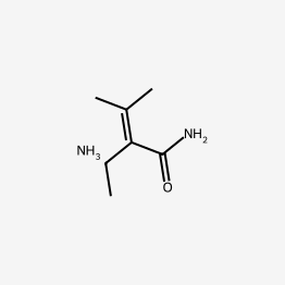 CCC(C(N)=O)=C(C)C.N